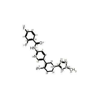 CC(C)C1=C(c2ccc(NC(=O)c3ccc(F)cc3F)nc2)CN(c2nnn(C)n2)CC1